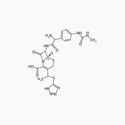 CNC(=O)Nc1ccc(C(N)C(=O)NC2C(=O)N3C(C(=O)O)=C(C(C)Sc4nnn[nH]4)CS[C@@H]23)cc1